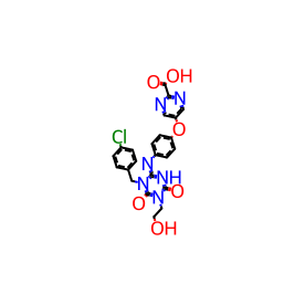 O=C(O)c1ncc(Oc2ccc(/N=c3\[nH]c(=O)n(CCO)c(=O)n3Cc3ccc(Cl)cc3)cc2)cn1